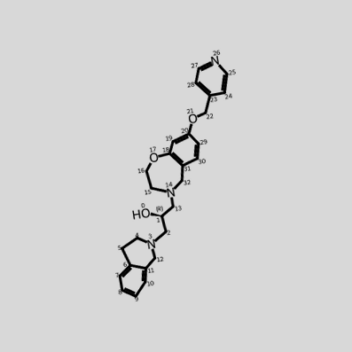 O[C@H](CN1CCc2ccccc2C1)CN1CCOc2cc(OCc3ccncc3)ccc2C1